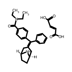 CCN(CC)C(=O)c1ccc(C(=C2C[C@H]3CC[C@@H](C2)N3)c2ccccc2)cc1.O=C(O)C=CC(=O)O